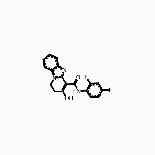 O=C(Nc1ccc(F)cc1F)C1=C(O)CCn2c1nc1ccccc12